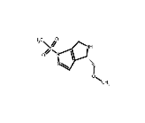 COC[C@H]1NCc2c1cnn2S(C)(=O)=O